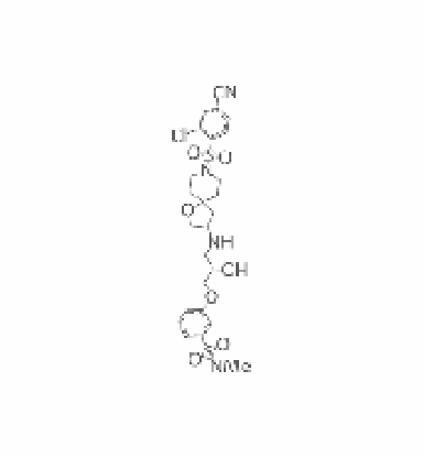 CNS(=O)(=O)c1cccc(OCC(O)CNC2COC3(CCN(S(=O)(=O)c4ccc(C#N)cc4Cl)CC3)C2)c1